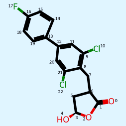 O=C1O[C@@H](O)CC1Cc1c(Cl)cc(-c2ccc(F)cc2)cc1Cl